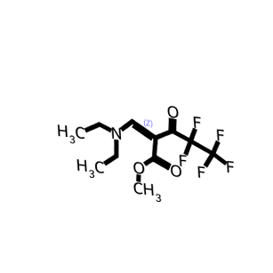 CCN(/C=C(\C(=O)OC)C(=O)C(F)(F)C(F)(F)F)CC